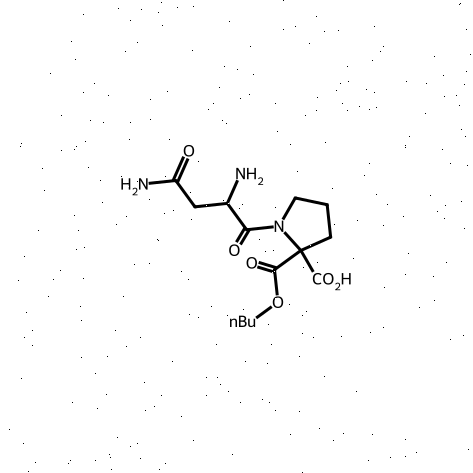 CCCCOC(=O)C1(C(=O)O)CCCN1C(=O)C(N)CC(N)=O